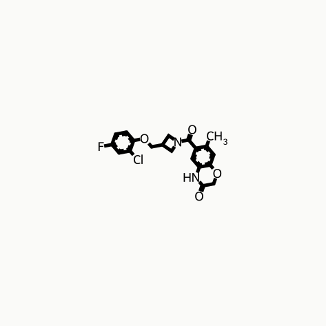 Cc1cc2c(cc1C(=O)N1CC(COc3ccc(F)cc3Cl)C1)NC(=O)CO2